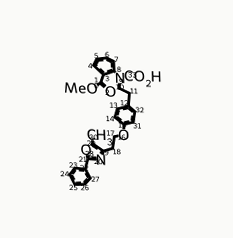 COC(=O)c1ccccc1N(CCc1ccc(OCCc2nc(-c3ccccc3)oc2C)cc1)C(=O)O